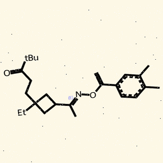 C=C(O/N=C(\C)C1CC(CC)(CCC(=O)C(C)(C)C)C1)c1ccc(C)c(C)c1